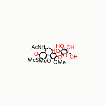 COc1c(O[C@@H]2O[C@H](CO)[C@@H](O)[C@H](O)[C@H]2O)cc2c(c1OC)-c1ccc(SC)c(=O)cc1C(NC(C)=O)CC2